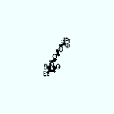 CCC1CC(=O)N(CCOCCOCC(=O)C(C)C)C1=O